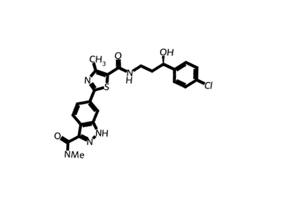 CNC(=O)c1n[nH]c2cc(-c3nc(C)c(C(=O)NCC[C@@H](O)c4ccc(Cl)cc4)s3)ccc12